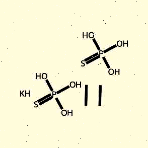 CC.CC.OP(O)(O)=S.OP(O)(O)=S.[KH]